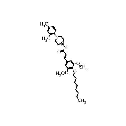 CCCCCCCCOc1c(OC)cc(C=CC(=O)NN2CCN(c3ccc(C)cc3C)CC2)cc1OC